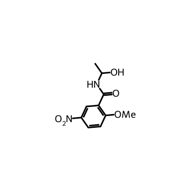 COc1ccc([N+](=O)[O-])cc1C(=O)NC(C)O